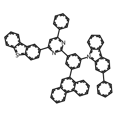 c1ccc(-c2ccc3c4ccccc4n(-c4cc(-c5nc(-c6ccccc6)cc(-c6ccc7sc8ccccc8c7c6)n5)cc(-c5cc6ccccc6c6ccccc56)c4)c3c2)cc1